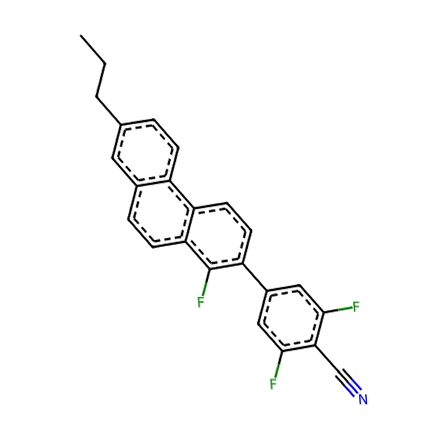 CCCc1ccc2c(ccc3c(F)c(-c4cc(F)c(C#N)c(F)c4)ccc32)c1